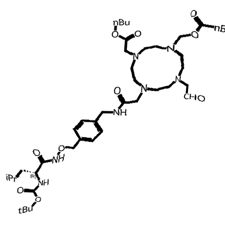 CCCCOC(=O)CN1CCN(COC(=O)CCCC)CCN(CC=O)CCN(CC(=O)NCc2ccc(CONC(=O)[C@@H](CC(C)C)NC(=O)OC(C)(C)C)cc2)CC1